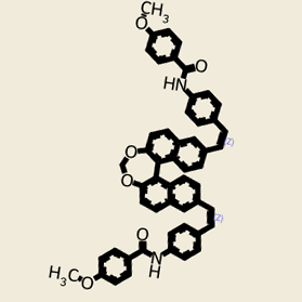 COc1ccc(C(=O)Nc2ccc(/C=C\c3ccc4c5c(ccc4c3)OCOc3ccc4cc(/C=C\c6ccc(NC(=O)c7ccc(OC)cc7)cc6)ccc4c3-5)cc2)cc1